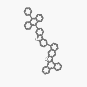 c1ccc(-c2c3ccccc3c(-c3ccc4c(c3)oc3ccc(-c5cccc6cc7c(cc56)oc5c6ccccc6c6ccccc6c75)cc34)c3ccccc23)cc1